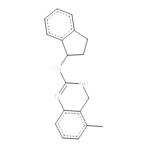 Cc1cccc2c1CNC(NC1CCc3ccccc31)=N2